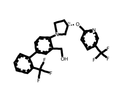 OCc1cc(-c2ccccc2C(F)(F)F)ccc1N1CC[C@H](Oc2ccc(C(F)(F)F)cn2)C1